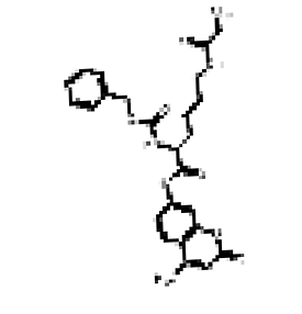 CCC(=O)NCCCC[C@H](NC(=O)OCc1ccccc1)C(=O)Nc1ccc2c(C)cc(=O)oc2c1